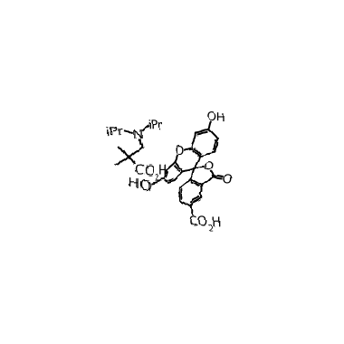 CC(C)N(CC(C)(C)C(=O)O)C(C)C.O=C(O)c1ccc2c(c1)C(=O)OC21c2ccc(O)cc2Oc2cc(O)ccc21